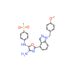 COc1ccc(Cn2ncc3c(-c4nc(N)c(Nc5ccc(S(C)(=O)=O)cc5)o4)cccc32)cc1